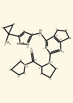 CC1(c2cc(Nc3nc(N4CCCC4C(=O)N4CCCC4)nc4c3CCC4)n[nH]2)CC1